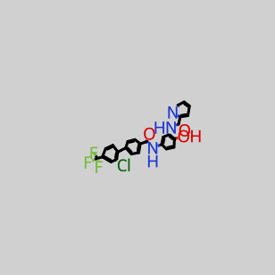 O=C(Nc1ccc(O)c(NC(=O)c2ccccn2)c1)c1ccc(-c2ccc(C(F)(F)F)cc2Cl)cc1